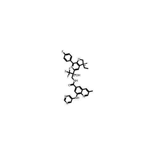 CC[C@@]1(C)COc2c1cc([C@](O)(CNC(=O)c1cc(Nc3cncnc3)c3ncc(C)cc3c1)C(F)(F)F)nc2-c1ccc(F)cc1